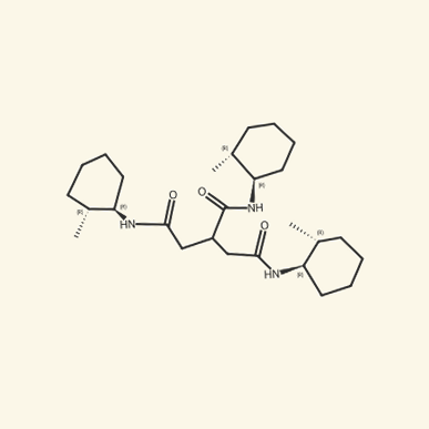 C[C@@H]1CCCC[C@H]1NC(=O)CC(CC(=O)N[C@@H]1CCCC[C@H]1C)C(=O)N[C@@H]1CCCC[C@H]1C